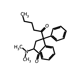 CCCCC(=O)C(CC(C=O)N(C)C)(c1ccccc1)c1ccccc1